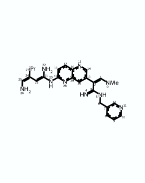 CN/C=C(\C(=N)NCc1cccnc1)c1cnc2ccc(N/C(N)=C/C(=C\N)C(C)C)nc2c1